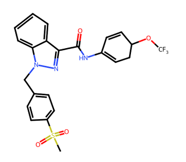 CS(=O)(=O)c1ccc(Cn2nc(C(=O)NC3=CCC(OC(F)(F)F)C=C3)c3ccccc32)cc1